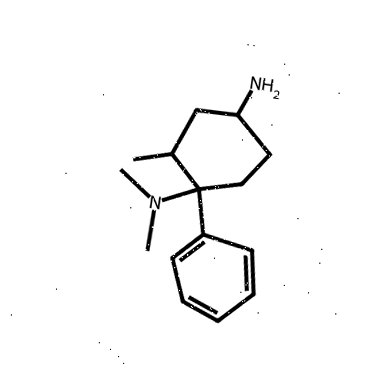 CC1CC(N)CCC1(c1ccccc1)N(C)C